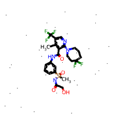 Cc1c(C(F)(F)F)cnc(N2CCCC(F)(F)CC2)c1C(=O)Nc1cccc(S(C)(=O)=NC(=O)CO)c1